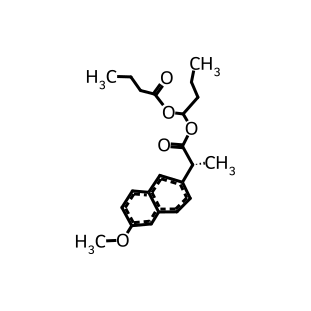 CCCC(=O)OC(CCC)OC(=O)[C@H](C)c1ccc2cc(OC)ccc2c1